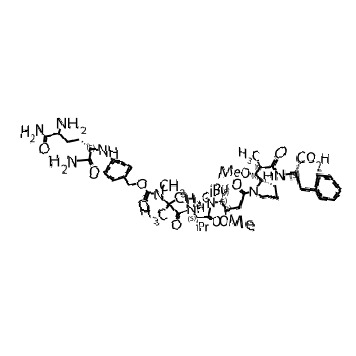 CC[C@H](C)[C@@H]([C@@H](CC(=O)N1CCC[C@H]1[C@H](OC)[C@@H](C)C(=O)N[C@@H](Cc1ccccc1)C(=O)O)OC)N(C)C(=O)[C@@H](NC(=O)C(C)(C)N(C)C(=O)OCc1ccc(N[C@@H](CCC(N)C(N)=O)C(N)=O)cc1)C(C)C